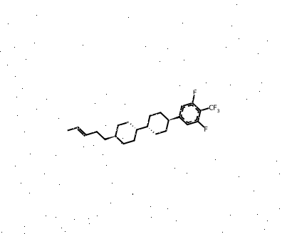 C/C=C/CC[C@H]1CC[C@H]([C@H]2CC[C@H](c3cc(F)c(C(F)(F)F)c(F)c3)CC2)CC1